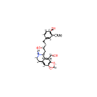 COc1cc(CCC(O)CC2c3c(cc4c(c3CO)OCO4)CCN2C)ccc1O